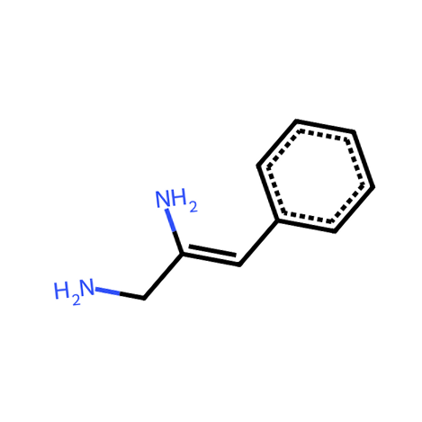 NCC(N)=Cc1ccccc1